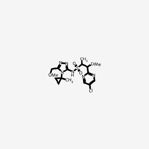 COCc1nnc(NS(=O)(=O)C(C)C(OC)c2ncc(Cl)cn2)n1C1(C)CC1